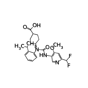 COc1cc(C(F)F)ncc1NC(=O)N(c1ccccc1C(C)C)C1CCC(C(=O)O)CC1